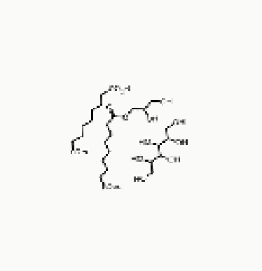 CCCCCCCCCCCCCCCCCC(=O)O.CCCCCCCCCCCCCCCCCC(=O)OCC(O)CO.OCC(O)C(O)C(O)C(O)CO